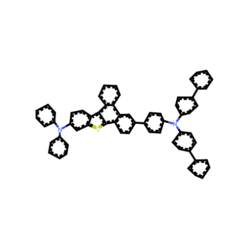 c1ccc(-c2ccc(N(c3ccc(-c4ccccc4)cc3)c3ccc(-c4ccc5c(c4)c4ccccc4c4c6ccc(N(c7ccccc7)c7ccccc7)cc6sc54)cc3)cc2)cc1